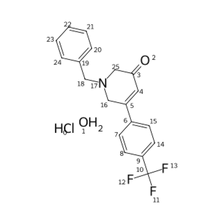 Cl.O.O=C1C=C(c2ccc(C(F)(F)F)cc2)CN(Cc2ccccc2)C1